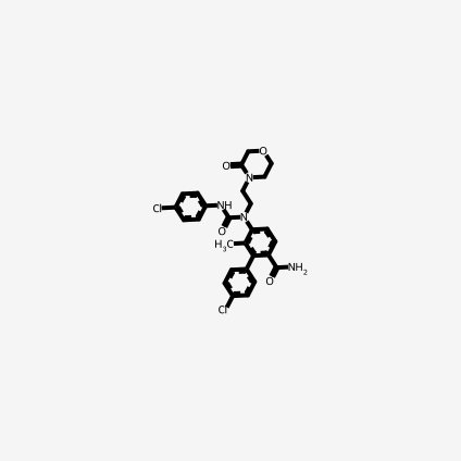 Cc1c(N(CCN2CCOCC2=O)C(=O)Nc2ccc(Cl)cc2)ccc(C(N)=O)c1-c1ccc(Cl)cc1